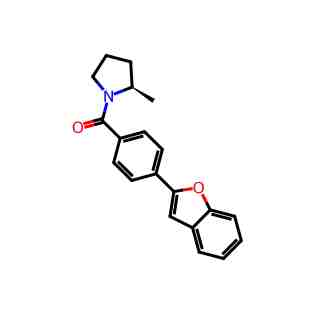 C[C@@H]1CCCN1C(=O)c1ccc(-c2cc3ccccc3o2)cc1